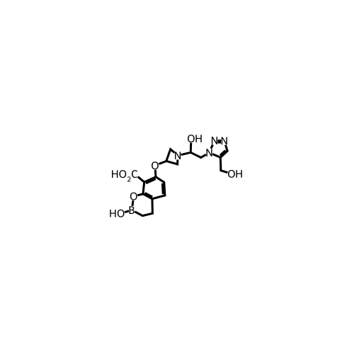 O=C(O)c1c(OC2CN(C(O)Cn3nncc3CO)C2)ccc2c1OB(O)CC2